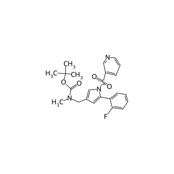 CN(Cc1cc(-c2ccccc2F)n(S(=O)(=O)c2cccnc2)c1)C(=O)OC(C)(C)C